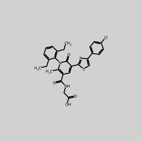 CCc1cccc(CC)c1-n1c(C)c(C(=O)NCC(=O)O)cc(-c2nc(-c3ccc(Cl)cc3)cs2)c1=O